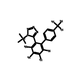 [2H]c1c([2H])c([2H])c(-c2nnn[n]2[Sn]([CH3])([CH3])[CH3])c(-c2ccc(C([2H])([2H])[2H])cc2)c1[2H]